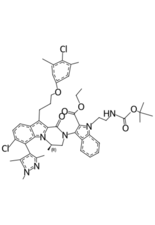 CCOC(=O)c1c(N2C[C@@H](C)n3c(c(CCCOc4cc(C)c(Cl)c(C)c4)c4ccc(Cl)c(-c5c(C)nn(C)c5C)c43)C2=O)c2ccccc2n1CCNC(=O)OC(C)(C)C